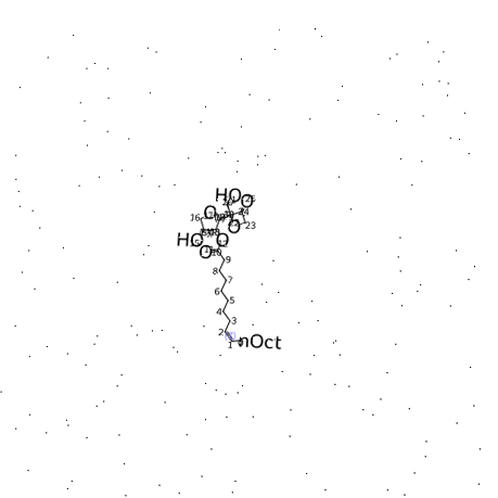 CCCCCCCC/C=C\CCCCCCCC(=O)O[C@@H]1[C@@H](O)CO[C@@H]1[C@@]1(CO)OCC1=O